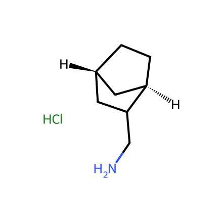 Cl.NCC1C[C@@H]2CC[C@@H]1C2